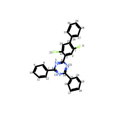 Fc1cc(-c2nc(-c3ccccc3)nc(-c3ccccc3)n2)c(F)cc1-c1ccccc1